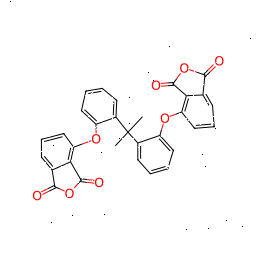 CC(C)(c1ccccc1Oc1cccc2c1C(=O)OC2=O)c1ccccc1Oc1cccc2c1C(=O)OC2=O